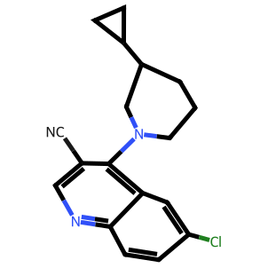 N#Cc1cnc2ccc(Cl)cc2c1N1CCCC(C2CC2)C1